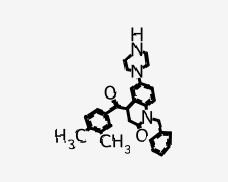 Cc1ccc(C(=O)C2CC(=O)N(Cc3ccccc3)c3ccc(N4CCNCC4)cc32)cc1C